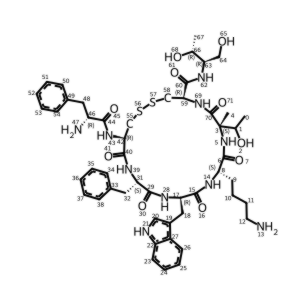 CC(O)[C@]1(C)NC(=O)[C@H](CCCCN)NC(=O)[C@@H](Cc2c[nH]c3ccccc23)NC(=O)[C@H](Cc2ccccc2)NC(=O)[C@@H](NC(=O)[C@H](N)Cc2ccccc2)CSSC[C@@H](C(=O)N[C@H](CO)[C@@H](C)O)NC1=O